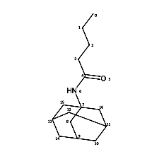 CCCCC(=O)NC12CC3CC(CC(C3)C1)C2